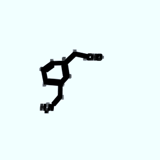 NCc1cccc(C[C]=O)c1